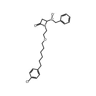 O=C1CC([S+]([O-])Cc2ccccc2)N1CCOCCCCCCc1ccc(Cl)cc1